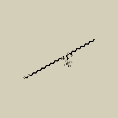 CCCCCCCCCCCC(=O)O[C@@H](CNCCCCCCCCCCCCCCOC=O)COP(=O)(O)O